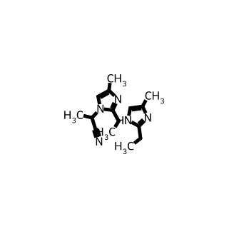 CCc1nc(C)c[nH]1.CCc1nc(C)cn1C(C)C#N